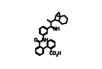 CC(C(=N)c1cccc(NC(=O)c2ccccc2-c2ccccc2C(=O)O)c1)C1C2CCCCC23CC13